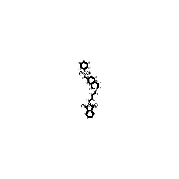 O=C1c2ccccc2C(=O)N1CCCCN1CCc2ccc(CS(=O)(=O)c3ccccc3)cc2C1